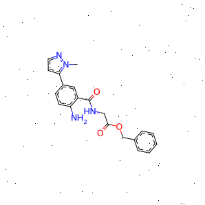 Cn1nccc1-c1ccc(N)c(C(=O)NCC(=O)OCc2ccccc2)c1